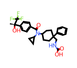 C[C@](O)(c1ccc(C(=O)N(C2CC2)C2CCC(CNC(=O)O)(c3ccccc3)CC2)cc1)C(F)(F)F